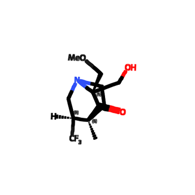 COC[C@@]1(CO)C(=O)[C@@]2(C)CCN1C[C@@H]2C(F)(F)F